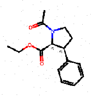 CCOC(=O)[C@@H]1[C@H](c2ccccc2)CCN1C(C)=O